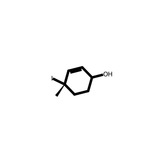 C[C@@]1(I)C=CC(O)CC1